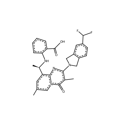 Cc1cc([C@@H](C)Nc2ccccc2C(=O)O)c2nc(N3Cc4ccc(C(F)F)cc4C3)c(C)c(=O)n2c1